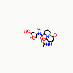 CC(=O)N[C@H]1CCC(=O)N2CCC[C@@H](C(=O)N[C@H](C=O)CC(=O)O)N2C1=O